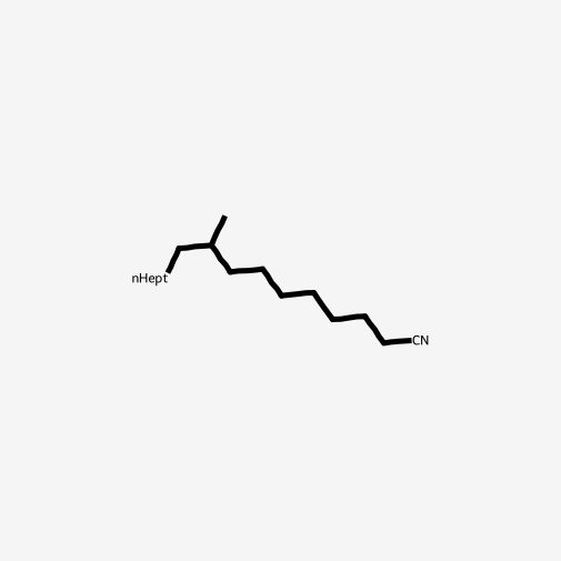 CCCCCCCCC(C)CCCCCCCC#N